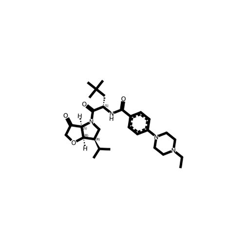 CCN1CCN(c2ccc(C(=O)N[C@@H](CC(C)(C)C)C(=O)N3C[C@@H](C(C)C)[C@H]4OCC(=O)[C@H]43)cc2)CC1